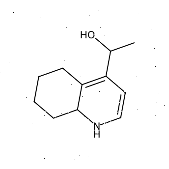 CC(O)C1=C2CCCCC2NC=C1